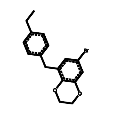 CCc1ccc(Cc2cc(Br)cc3c2OCCO3)cc1